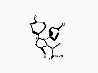 CCCCC(=O)N(CCC)N1C(=O)CO[C@H](c2ccc(Cl)cc2)[C@@H]1c1ccc(Cl)cc1